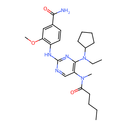 CCCCC(=O)N(C)c1cnc(Nc2ccc(C(N)=O)cc2OC)nc1N(CC)C1CCCC1